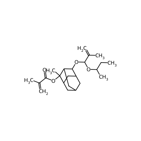 C=C(C)C(=O)OC1(C)C2CC3CC(C2)C(OC(OC(C)CC)C(=C)C)C1C3